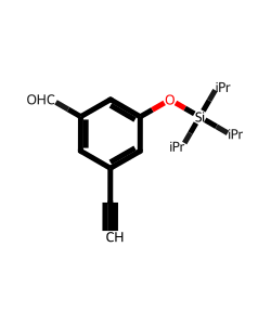 C#Cc1cc(C=O)cc(O[Si](C(C)C)(C(C)C)C(C)C)c1